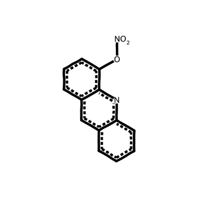 O=[N+]([O-])Oc1cccc2cc3ccccc3nc12